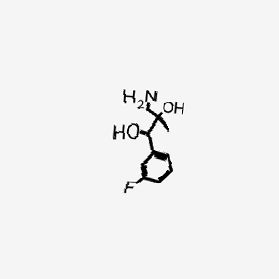 CC(O)(CN)C(O)c1cccc(F)c1